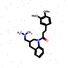 COc1ccc(CCC(=O)N2CC(CN(C)C)Cc3ccccc32)cc1OC